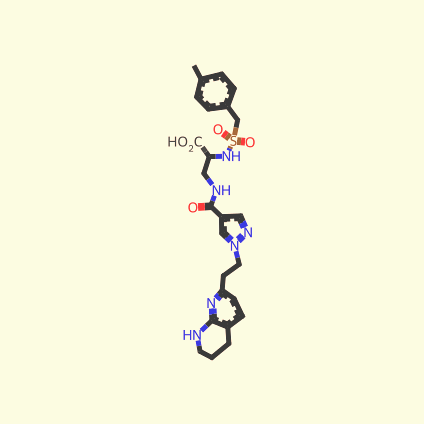 Cc1ccc(CS(=O)(=O)NC(CNC(=O)c2cnn(CCc3ccc4c(n3)NCCC4)c2)C(=O)O)cc1